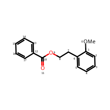 COc1ccccc1CCOC(=O)c1ccccc1